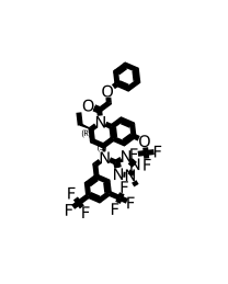 CC[C@@H]1C[C@H](N(Cc2cc(C(F)(F)F)cc(C(F)(F)F)c2)c2nnn(C)n2)c2cc(OC(F)(F)F)ccc2N1C(=O)COc1ccccc1